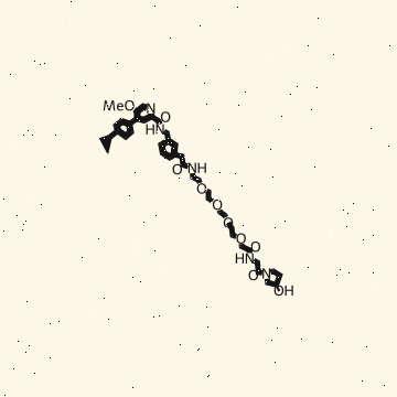 COc1cnc(C(=O)NCc2cccc(CC(=O)NCCOCCOCCOCCOCC(=O)NCC(=O)N3CC[C@@H](O)C3)c2)cc1-c1ccc(C2CC2)cc1